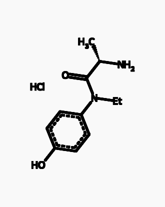 CCN(C(=O)[C@H](C)N)c1ccc(O)cc1.Cl